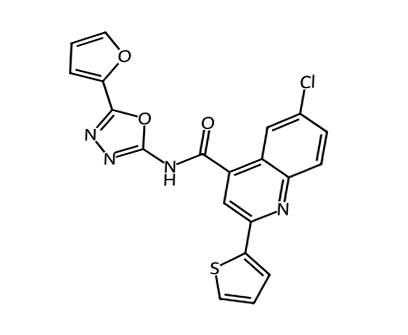 O=C(Nc1nnc(-c2ccco2)o1)c1cc(-c2cccs2)nc2ccc(Cl)cc12